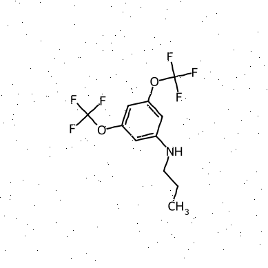 CCCNc1cc(OC(F)(F)F)cc(OC(F)(F)F)c1